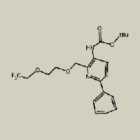 CC(C)(C)OC(=O)Nc1cnc(-c2ccccc2)nc1COCCOCC(F)(F)F